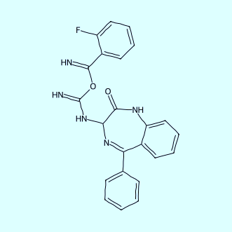 N=C(NC1N=C(c2ccccc2)c2ccccc2NC1=O)OC(=N)c1ccccc1F